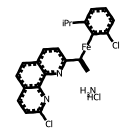 C=[C]([Fe][c]1c(Cl)cccc1C(C)C)c1ccc2ccc3ccc(Cl)nc3c2n1.Cl.N